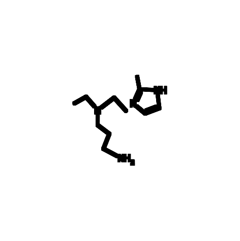 CCN(CC)CCCN.Cc1ncc[nH]1